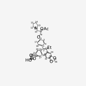 CCC(=C(c1ccc(OCC(CN2CCCC2)OC(C)=O)cc1)c1ccc(OP(O)O)cc1)c1ccc2c(c1)OCO2